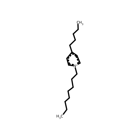 CCCCCCCC[n+]1ccc(CCCCC)cc1